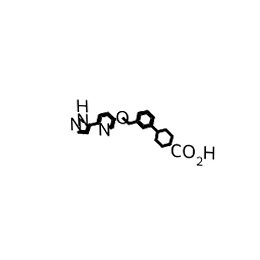 O=C(O)C1CCC(c2cccc(COc3ccc(-c4ccn[nH]4)nc3)c2)CC1